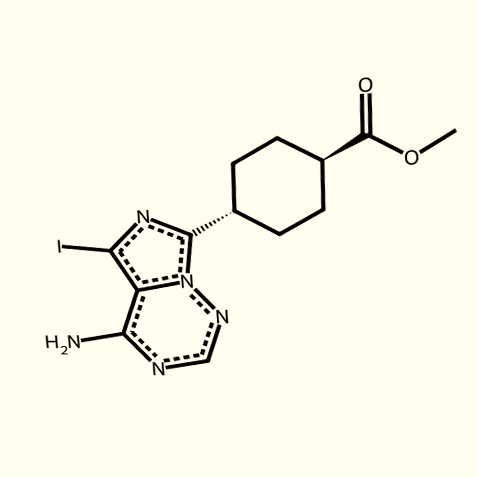 COC(=O)[C@H]1CC[C@H](c2nc(I)c3c(N)ncnn32)CC1